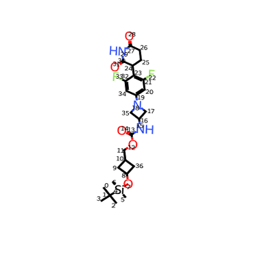 CC(C)(C)[Si](C)(C)OC1CC(COC(=O)NC2CN(c3cc(F)c(C4CCC(=O)NC4=O)c(F)c3)C2)C1